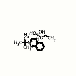 CCO[PH](O)(O)c1c[n+](C(C)(C)C)nc2ccccc12